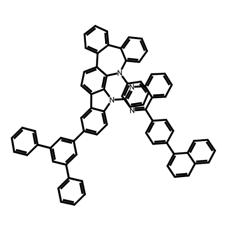 c1ccc(-c2cc(-c3ccccc3)cc(-c3ccc4c(c3)c3ccc5c(c3n4-c3nc(-c4ccc(-c6cccc7ccccc67)cc4)c4ccccc4n3)N(c3ccccc3)c3ccccc3-c3ccccc3-5)c2)cc1